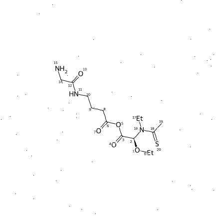 CCO[C@@H](C(=O)OC(=O)CCCNC(=O)CN)N(CC)C(C)=S